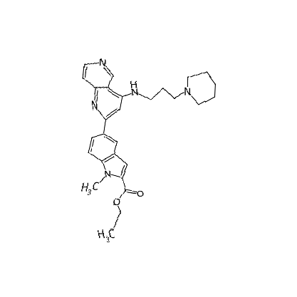 CCOC(=O)c1cc2cc(-c3cc(NCCCN4CCCCC4)c4cnccc4n3)ccc2n1C